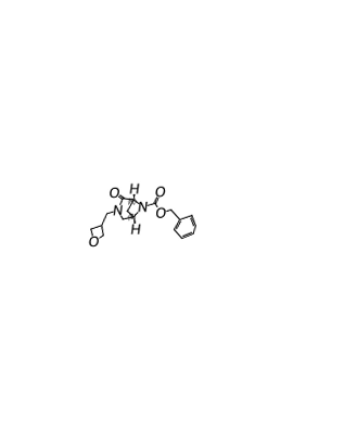 O=C1[C@H]2C[C@@H](CN1CC1COC1)N2C(=O)OCc1ccccc1